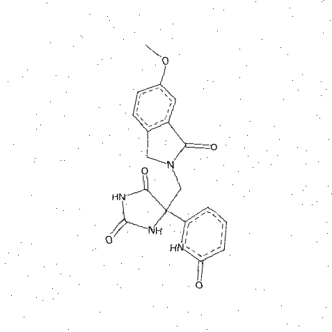 COc1ccc2c(c1)C(=O)N(CC1(c3cccc(=O)[nH]3)NC(=O)NC1=O)C2